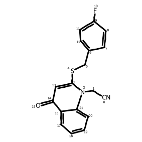 N#CCn1c(SCc2ccc(F)cc2)cc(=O)c2ccccc21